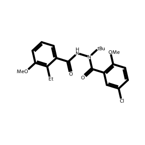 CCc1c(OC)cccc1C(=O)NN(C(=O)c1cc(Cl)ccc1OC)C(C)(C)C